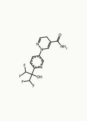 NC(=O)C1=CN(c2ccc(C(O)(C(F)F)C(F)F)nc2)N=CC1